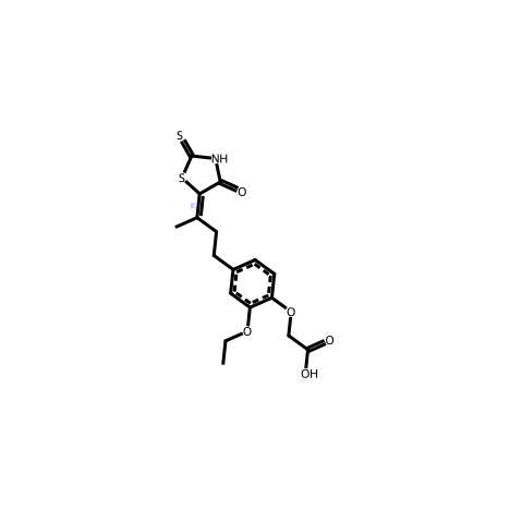 CCOc1cc(CC/C(C)=C2/SC(=S)NC2=O)ccc1OCC(=O)O